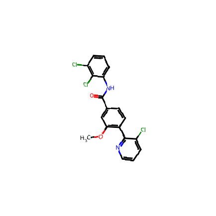 COc1cc(C(=O)Nc2cccc(Cl)c2Cl)ccc1-c1ncccc1Cl